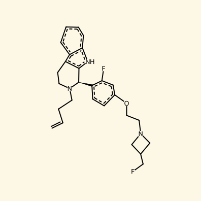 C=CCCN1CCc2c([nH]c3ccccc23)[C@H]1c1ccc(OCCN2CC(CF)C2)cc1F